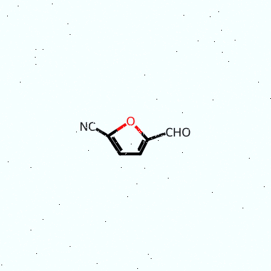 N#Cc1ccc(C=O)o1